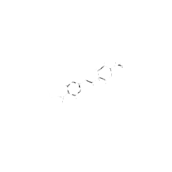 CN(C)c1ccc(/C=C/C2=CCC(N=O)C=C2)cc1